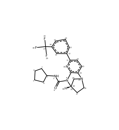 O=C(NC1CCCC1)N1c2nc(-c3cccc(C(F)(F)F)c3)ccc2N2CC[C@H]1C2